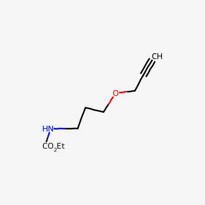 C#CCOCCCNC(=O)OCC